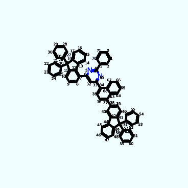 c1ccc(-c2nc(-c3cccc4c3-c3ccccc3C4(c3ccccc3)c3ccccc3)cc(-c3ccc(-c4ccc5c(c4)-c4ccccc4C5(c4ccccc4)c4ccccc4)c4ccccc34)n2)cc1